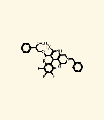 COC(COC(=O)C1=C(C)NC2=C(C(=O)CN(Cc3ccccc3)C2)C1c1c(F)c(F)c(F)c(F)c1F)c1ccccc1